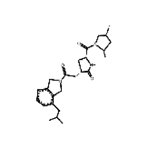 CC(C)Cc1cccc2c1CN(C(=O)C[C@@H]1C[C@@H](C(=O)N3C[C@@H](F)C[C@H]3C)NC1=O)C2